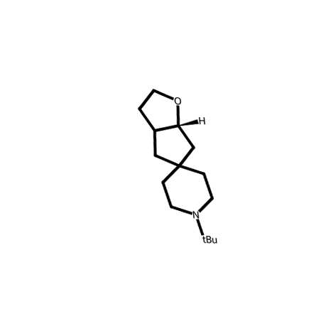 CC(C)(C)N1CCC2(CC1)CC1CCO[C@@H]1C2